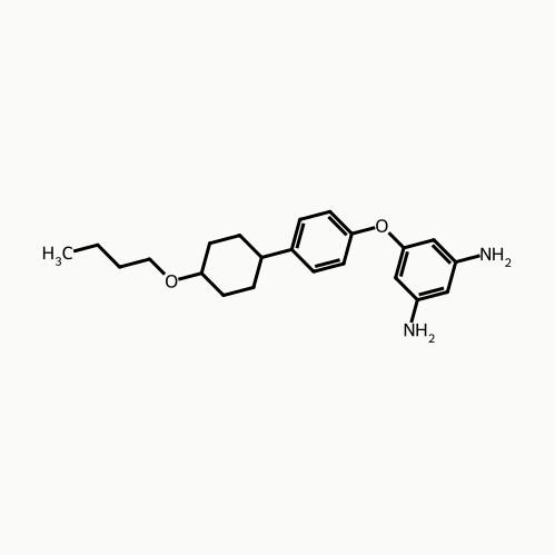 CCCCOC1CCC(c2ccc(Oc3cc(N)cc(N)c3)cc2)CC1